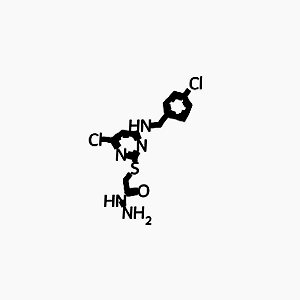 NNC(=O)CSc1nc(Cl)cc(NCc2ccc(Cl)cc2)n1